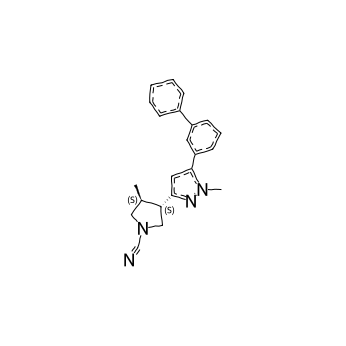 C[C@@H]1CN(C#N)C[C@H]1c1cc(-c2cccc(-c3ccccc3)c2)n(C)n1